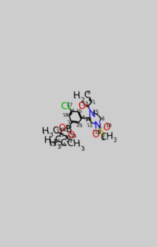 C=CC(=O)N1CCN(S(C)(=O)=O)C[C@H]1c1cc(Cl)cc(B2OC(C)(C)C(C)(C)O2)c1